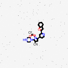 N#Cc1cc(-c2ccnc(-c3cc4ccccc4o3)c2)n(OC(=O)C(F)(F)F)c1N1CCNCC1